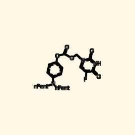 CCCCCN(CCCCC)c1ccc(OC(=O)OCn2cc(F)c(=O)[nH]c2=O)cc1